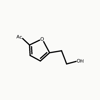 CC(=O)c1ccc(CCO)o1